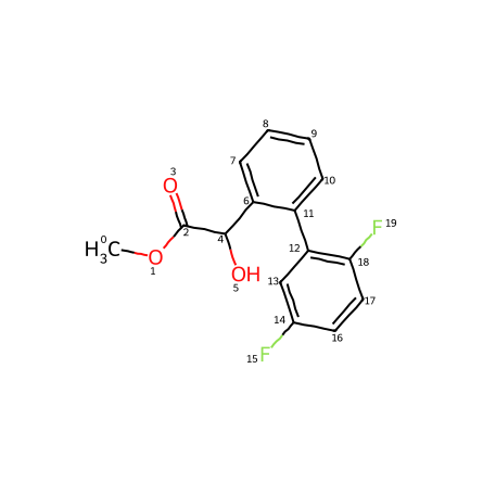 COC(=O)C(O)c1ccccc1-c1cc(F)ccc1F